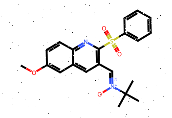 COc1ccc2nc(S(=O)(=O)c3ccccc3)c(/C=[N+](\[O-])C(C)(C)C)cc2c1